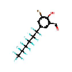 O=Cc1cc(C(F)(F)C(F)(F)C(F)(F)C(F)(F)C(F)(F)C(F)(F)F)cc(Br)c1O